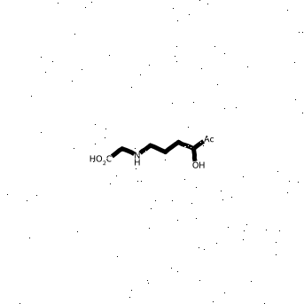 CC(=O)C(O)CCCNCC(=O)O